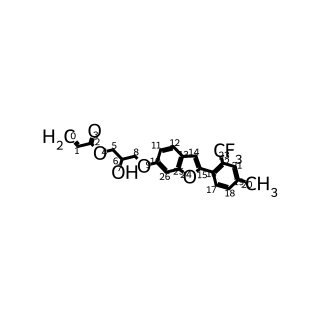 C=CC(=O)OCC(O)COc1ccc2cc(-c3ccc(C)cc3C(F)(F)F)oc2c1